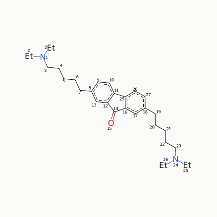 CCN(CC)CCCCCc1ccc2c(c1)C(=O)c1cc(CCCCCN(CC)CC)ccc1-2